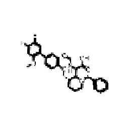 COc1cc(F)c(F)cc1-c1ccc(OC[C@H]2CCCN(Cc3ccccc3)C2C(NC=O)C(=O)O)cc1